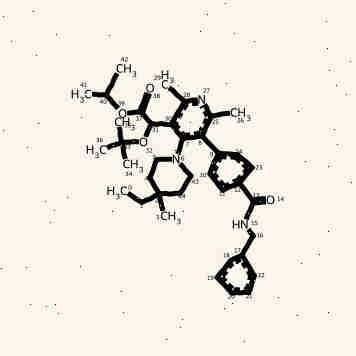 CCC1(C)CCN(c2c(-c3ccc(C(=O)NCc4ccccc4)cc3)c(C)nc(C)c2C(OC(C)(C)C)C(=O)OC(C)C)CC1